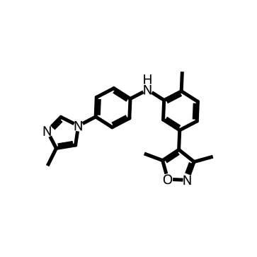 Cc1cn(-c2ccc(Nc3cc(-c4c(C)noc4C)ccc3C)cc2)cn1